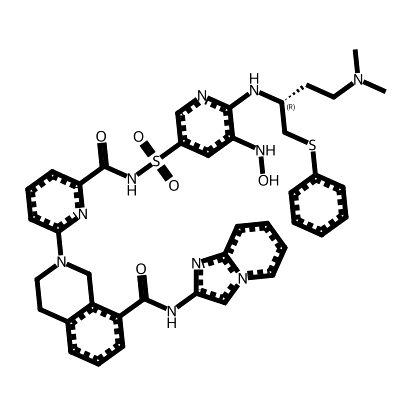 CN(C)CC[C@H](CSc1ccccc1)Nc1ncc(S(=O)(=O)NC(=O)c2cccc(N3CCc4cccc(C(=O)Nc5cn6ccccc6n5)c4C3)n2)cc1NO